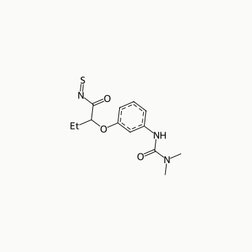 CCC(Oc1cccc(NC(=O)N(C)C)c1)C(=O)N=S